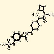 CN(C(=O)[C@@H](N)C1CCC(CNC(=O)c2cccc(NS(C)(=O)=O)c2)CC1)C1CCC1